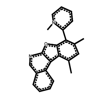 Cc1cc(C)c2c(oc3ncc4ccccc4c32)c1-c1cccc[n+]1C